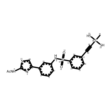 CC(=O)Nc1nc(-c2cccc(NS(=O)(=O)c3cccc(C#CS(C)(S)S)c3)c2)cs1